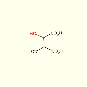 O=NC(C(=O)O)C(O)C(=O)O